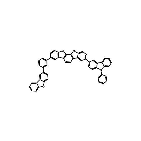 c1ccc(-n2c3ccccc3c3cc(-c4ccc5oc6c(ccc7c8cc(-c9cccc(-c%10ccc%11oc%12ccccc%12c%11c%10)c9)ccc8oc76)c5c4)ccc32)cc1